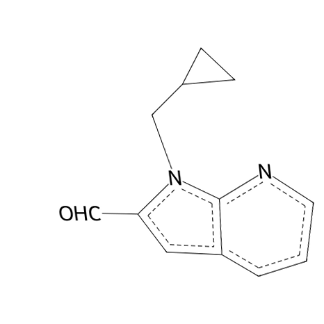 O=Cc1cc2cccnc2n1CC1CC1